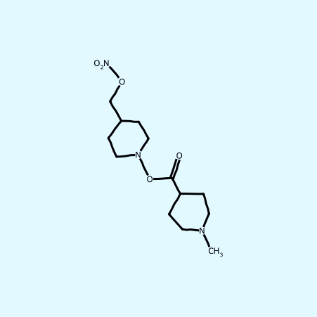 CN1CCC(C(=O)ON2CCC(CO[N+](=O)[O-])CC2)CC1